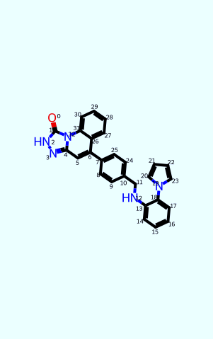 O=c1[nH]nc2cc(-c3ccc(CNc4ccccc4-n4cccc4)cc3)c3ccccc3n12